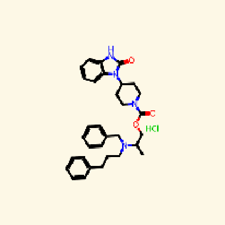 CC(COC(=O)N1CCC(n2c(=O)[nH]c3ccccc32)CC1)N(CCCc1ccccc1)Cc1ccccc1.Cl